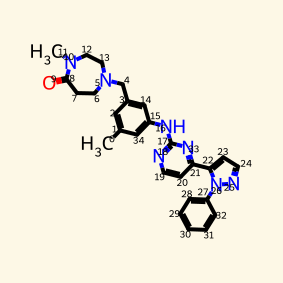 Cc1cc(CN2CCC(=O)N(C)CC2)cc(Nc2nccc(-c3ccnn3-c3ccccc3)n2)c1